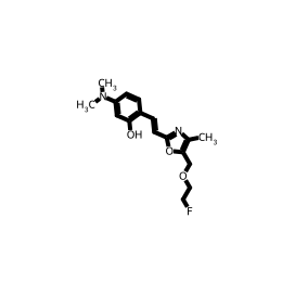 Cc1nc(C=Cc2ccc(N(C)C)cc2O)oc1COCCF